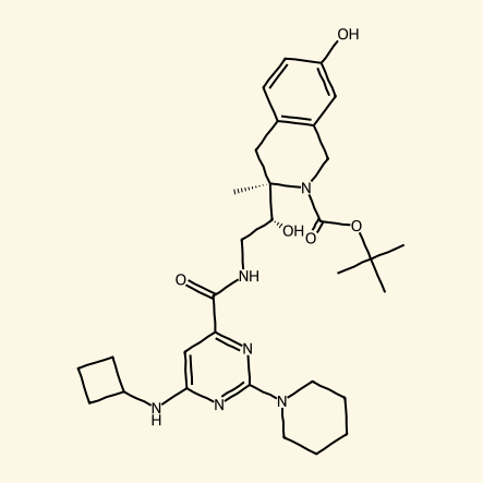 CC(C)(C)OC(=O)N1Cc2cc(O)ccc2C[C@]1(C)[C@H](O)CNC(=O)c1cc(NC2CCC2)nc(N2CCCCC2)n1